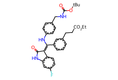 CCOC(=O)CCc1cccc(/C(Nc2ccc(CNC(=O)OC(C)(C)C)cc2)=C2/C(=O)Nc3cc(F)ccc32)c1